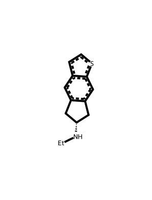 CCN[C@@H]1Cc2cc3ccsc3cc2C1